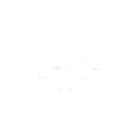 CCc1cncc(Cl)c1NC(=O)OC